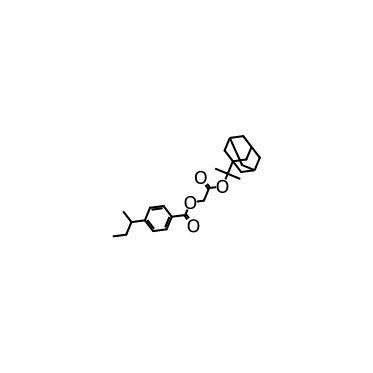 CCC(C)c1ccc(C(=O)OCC(=O)OC(C)(C)C23CC4CC(CC(C4)C2)C3)cc1